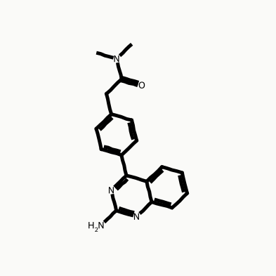 CN(C)C(=O)Cc1ccc(-c2nc(N)nc3ccccc23)cc1